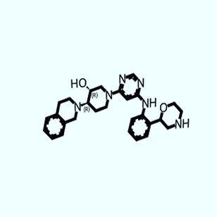 O[C@@H]1CN(c2cc(Nc3ccccc3C3CNCCO3)ncn2)CC[C@H]1N1CCc2ccccc2C1